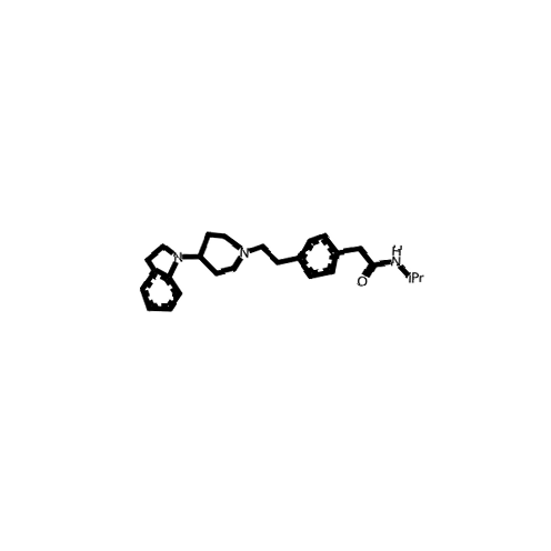 CC(C)NC(=O)Cc1ccc(CCN2CCC(N3CCc4ccccc43)CC2)cc1